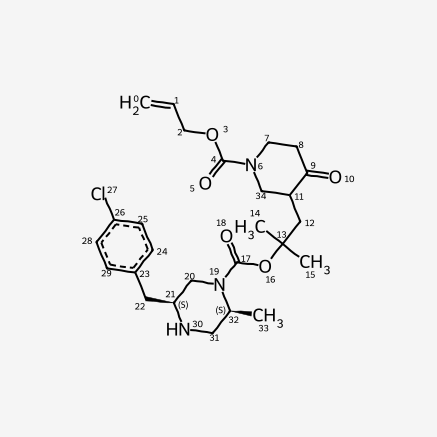 C=CCOC(=O)N1CCC(=O)C(CC(C)(C)OC(=O)N2C[C@H](Cc3ccc(Cl)cc3)NC[C@@H]2C)C1